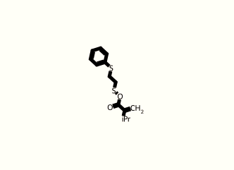 C=C(C(=O)OSCCSc1ccccc1)C(C)C